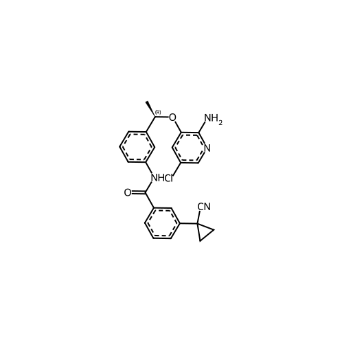 C[C@@H](Oc1cc(Cl)cnc1N)c1cccc(NC(=O)c2cccc(C3(C#N)CC3)c2)c1